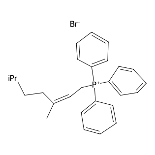 CC(=CC[P+](c1ccccc1)(c1ccccc1)c1ccccc1)CCC(C)C.[Br-]